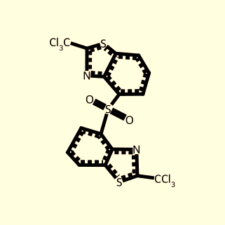 O=S(=O)(c1cccc2sc(C(Cl)(Cl)Cl)nc12)c1cccc2sc(C(Cl)(Cl)Cl)nc12